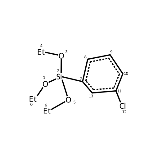 CCO[Si](OCC)(OCC)c1cccc(Cl)c1